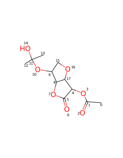 CC(=O)OC1C(=O)OC2C(OC(C)(C)O)COC12